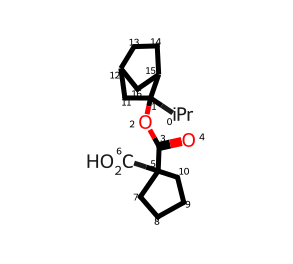 CC(C)C1(OC(=O)C2(C(=O)O)CCCC2)CC2CCC1C2